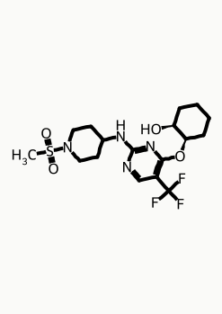 CS(=O)(=O)N1CCC(Nc2ncc(C(F)(F)F)c(O[C@@H]3CCCC[C@@H]3O)n2)CC1